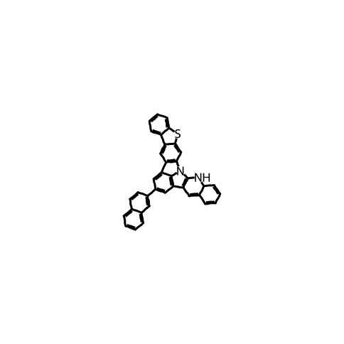 C1=CC2=Cc3c(n4c5cc6sc7ccccc7c6cc5c5cc(-c6ccc7ccccc7c6)cc3c54)NC2C=C1